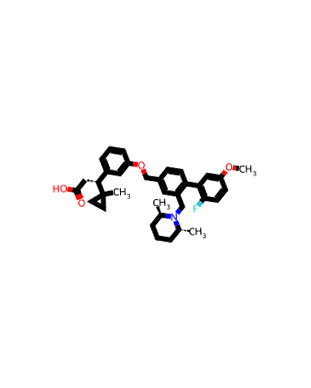 COc1ccc(F)c(-c2ccc(COc3cccc([C@@H](CC(=O)O)C4(C)CC4)c3)cc2CN2[C@H](C)CCC[C@H]2C)c1